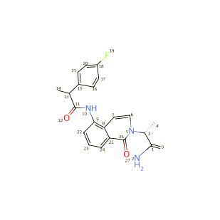 C=C(N)[C@@H](C)n1ccc2c(NC(=O)C(C)c3ccc(F)cc3)cccc2c1=O